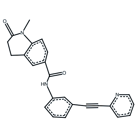 CN1C(=O)CCc2cc(C(=O)Nc3cccc(C#Cc4ccccn4)c3)ccc21